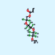 C=CC(=O)OCC(F)(F)OC(F)(F)C(F)(F)OC(F)(F)C(F)(F)OC(F)(F)F